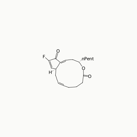 CCCCC[C@H]1C/C=C2/C(=O)C(F)=C[C@@H]2C/C=C\CCCC(=O)O1